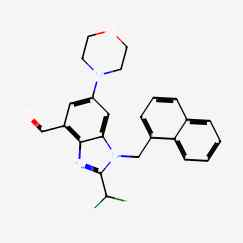 O=Cc1cc(N2CCOCC2)cc2c1nc(C(F)F)n2Cc1cccc2ccccc12